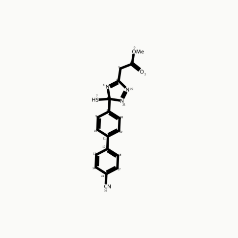 COC(=O)CC1=NC(S)(c2ccc(-c3ccc(C#N)cc3)cc2)N=N1